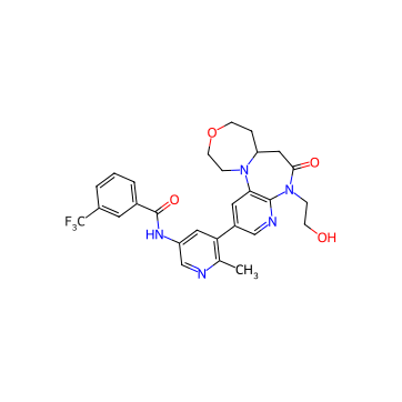 Cc1ncc(NC(=O)c2cccc(C(F)(F)F)c2)cc1-c1cnc2c(c1)N1CCOCCC1CC(=O)N2CCO